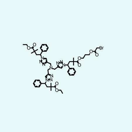 CCOC(=O)C(C)(C)CC(c1ccccc1)n1cc(CN(Cc2cn(C(CC(C)(C)C(=O)OCC)c3ccccc3)nn2)Cc2cn(C(CC(C)(C)C(=O)OCCCOC(=O)CBr)c3ccccc3)nn2)nn1